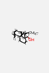 CC(=O)OCC1(CO)C=CCC2C(C)(C)CCCC21C